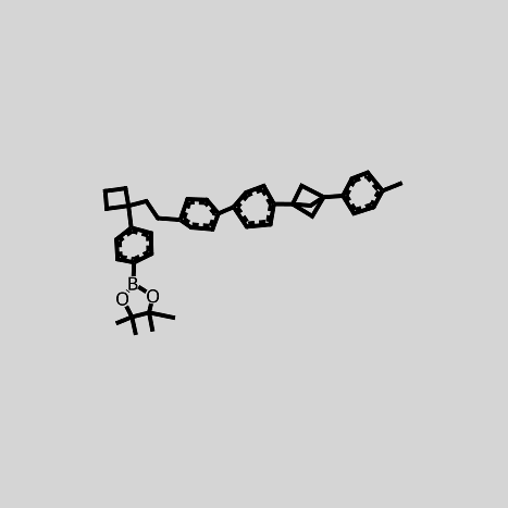 Cc1ccc(C23CC(c4ccc(-c5ccc(CCC6(c7ccc(B8OC(C)(C)C(C)(C)O8)cc7)CCC6)cc5)cc4)(C2)C3)cc1